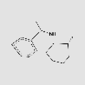 CC(N[C@H]1CCCC[C@H]1C)c1ccccc1